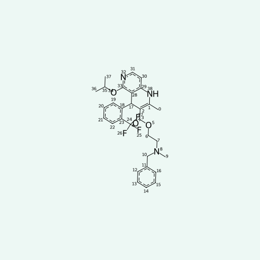 CC1=C(C(=O)OCCN(C)Cc2ccccc2)C(c2ccccc2C(F)(F)F)c2c(ccnc2OC(C)C)N1